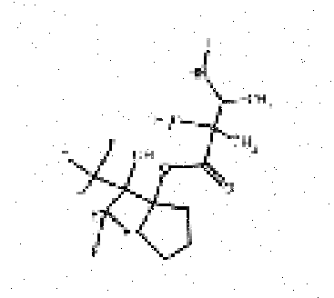 CC(NI)C(C)(C)C(=O)OC1(C(O)(C(F)(F)F)C(F)(F)F)CCCC1